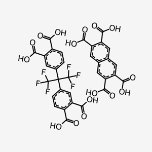 O=C(O)c1cc2cc(C(=O)O)c(C(=O)O)cc2cc1C(=O)O.O=C(O)c1ccc(C(c2ccc(C(=O)O)c(C(=O)O)c2)(C(F)(F)F)C(F)(F)F)cc1C(=O)O